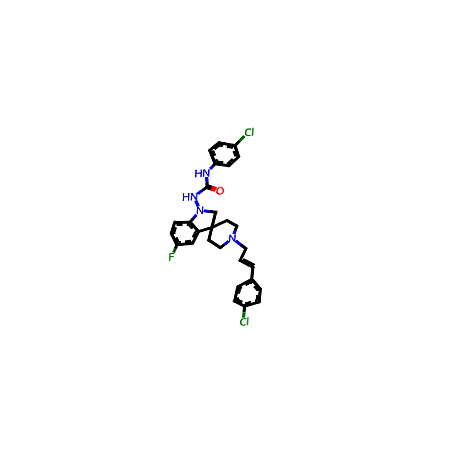 O=C(Nc1ccc(Cl)cc1)NN1CC2(CCN(C/C=C/c3ccc(Cl)cc3)CC2)c2cc(F)ccc21